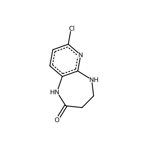 O=C1CCNc2nc(Cl)ccc2N1